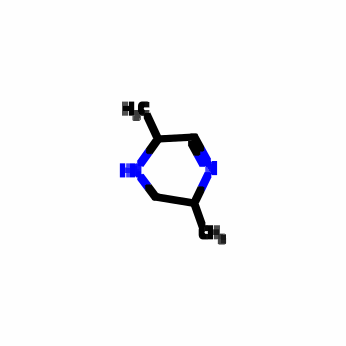 CC1CNC(C)C=N1